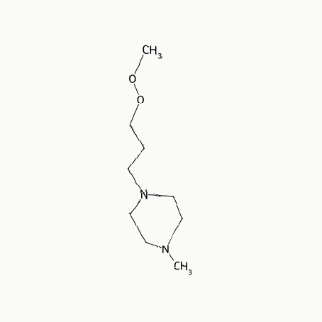 COOCCCN1CCN(C)CC1